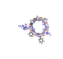 CCCC[C@@H]1NC(=O)[C@H](C)NC(=O)[C@H](CN)NC(=O)[C@H](CCc2ccccc2)NC(=O)[C@H](Cc2ccccc2)NC(=O)[C@H](CCCNC(=N)N)NC(=O)[C@@H]2CCCN2C(=O)[C@H]2CCCN2C1=O